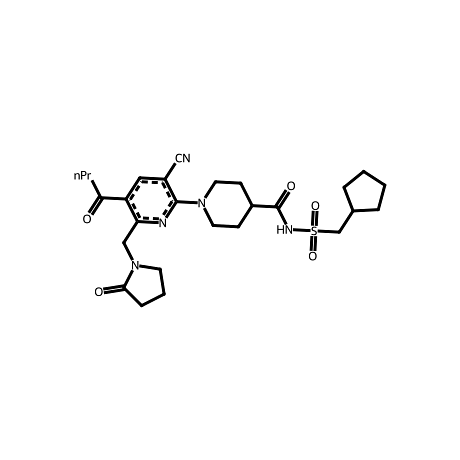 CCCC(=O)c1cc(C#N)c(N2CCC(C(=O)NS(=O)(=O)CC3CCCC3)CC2)nc1CN1CCCC1=O